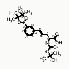 CC(C)(C)OC(=O)N[C@@H](CC=Cc1cccc(B2OC(C)(C)C(C)(C)O2)c1)C(=O)O